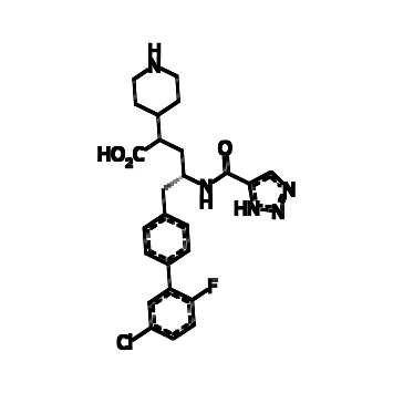 O=C(N[C@H](Cc1ccc(-c2cc(Cl)ccc2F)cc1)CC(C(=O)O)C1CCNCC1)c1cnn[nH]1